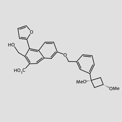 CO[C@H]1C[C@](OC)(c2cccc(COc3ccc4c(-c5ccco5)c(CO)c(C(=O)O)cc4c3)c2)C1